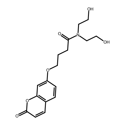 O=C(CCCOc1ccc2ccc(=O)oc2c1)N(CCO)CCO